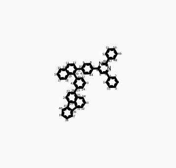 c1ccc(-c2cc(-c3ccc(-c4ccc5ccccc5c4-c4cccc(-c5ccc6c7c(cccc57)-c5ccccc5-6)c4)cc3)nc(-c3ccccc3)n2)cc1